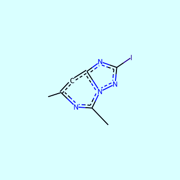 Cc1cc2nc(I)nn2c(C)n1